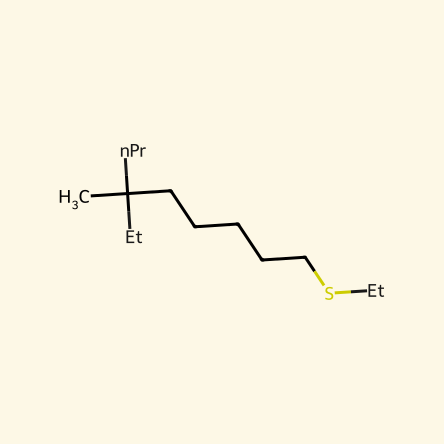 CCCC(C)(CC)CCCCCSCC